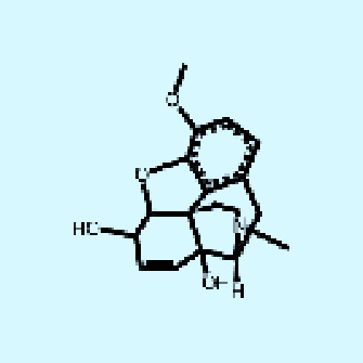 COc1ccc2c3c1OC1C(O)C=CC4(O)[C@@H](C2)N(C)CC[C@]314